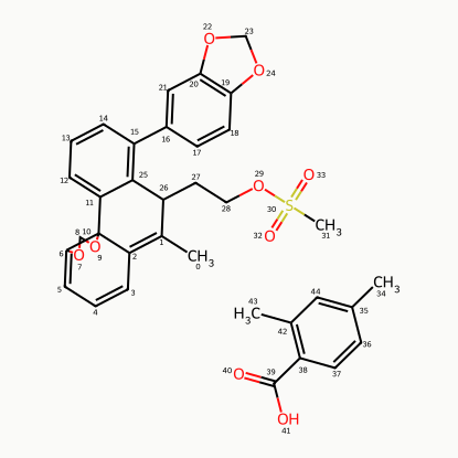 CC1=C2C=CC=C3OCOC32c2cccc(-c3ccc4c(c3)OCO4)c2C1CCOS(C)(=O)=O.Cc1ccc(C(=O)O)c(C)c1